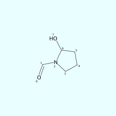 O=CN1CCCC1O